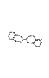 [c]1cccc2cc(-c3ccc4[c]cccc4c3)ccc12